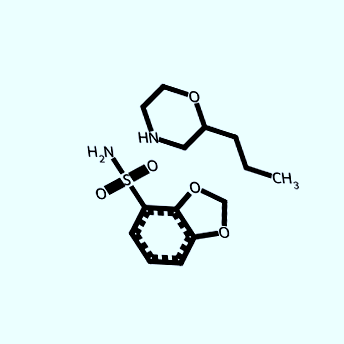 CCCC1CNCCO1.NS(=O)(=O)c1cccc2c1OCO2